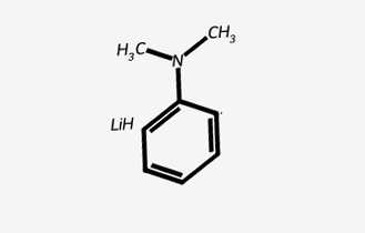 CN(C)c1[c]cccc1.[LiH]